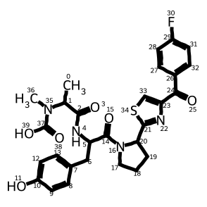 CC(C(=O)NC(Cc1ccc(O)cc1)C(=O)N1CCCC1c1nc(C(=O)c2ccc(F)cc2)cs1)N(C)C(=O)O